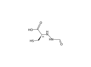 O=CNN[C@@H](CS)C(=O)O